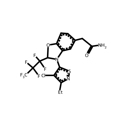 CCc1nsc(N2c3cc(CC(N)=O)ccc3OC2C(F)(F)C(F)(F)C(F)(F)F)c1Cl